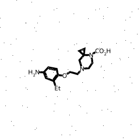 CCc1cc(N)ccc1OCCN1CCN(C(=O)O)C2(CC2)C1